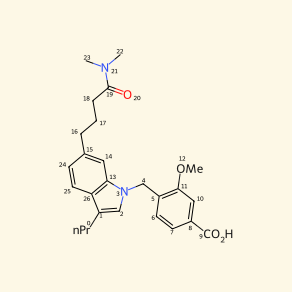 CCCc1cn(Cc2ccc(C(=O)O)cc2OC)c2cc(CCCC(=O)N(C)C)ccc12